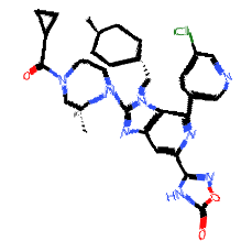 C[C@@H]1CN(C(=O)C2CC2)CCN1c1nc2cc(-c3noc(=O)[nH]3)nc(-c3cncc(Cl)c3)c2n1C[C@H]1CC[C@H](C)CC1